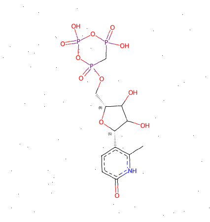 Cc1[nH]c(=O)ccc1[C@@H]1O[C@H](COP2(=O)CP(=O)(O)OP(=O)(O)O2)C(O)C1O